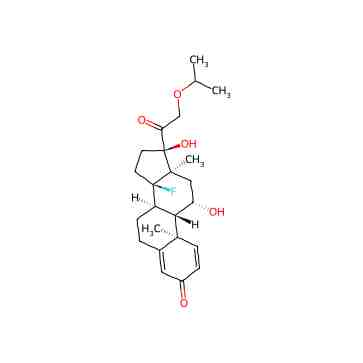 CC(C)OCC(=O)[C@@]1(O)CC[C@@]2(F)[C@@H]3CCC4=CC(=O)C=C[C@]4(C)[C@H]3[C@@H](O)C[C@@]21C